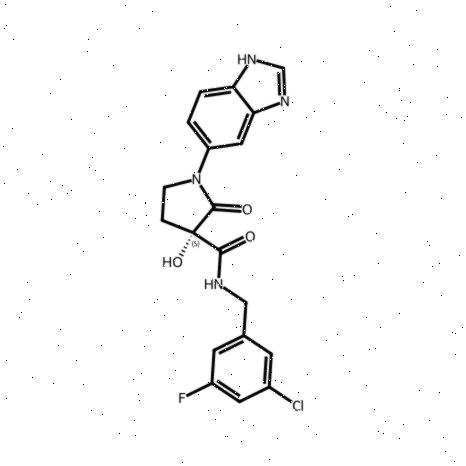 O=C(NCc1cc(F)cc(Cl)c1)[C@@]1(O)CCN(c2ccc3[nH]cnc3c2)C1=O